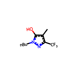 CCCCn1nc(C(F)(F)F)c(C)c1O